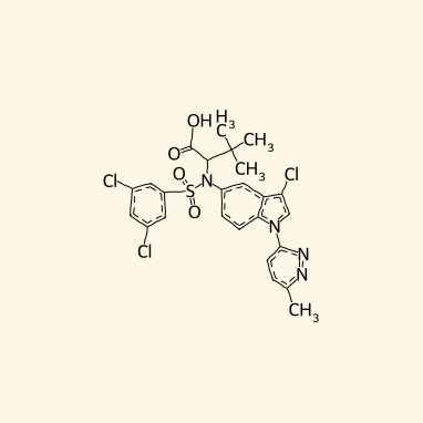 Cc1ccc(-n2cc(Cl)c3cc(N(C(C(=O)O)C(C)(C)C)S(=O)(=O)c4cc(Cl)cc(Cl)c4)ccc32)nn1